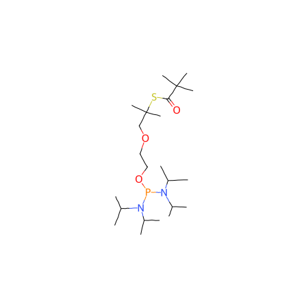 CC(C)N(C(C)C)P(OCCOCC(C)(C)SC(=O)C(C)(C)C)N(C(C)C)C(C)C